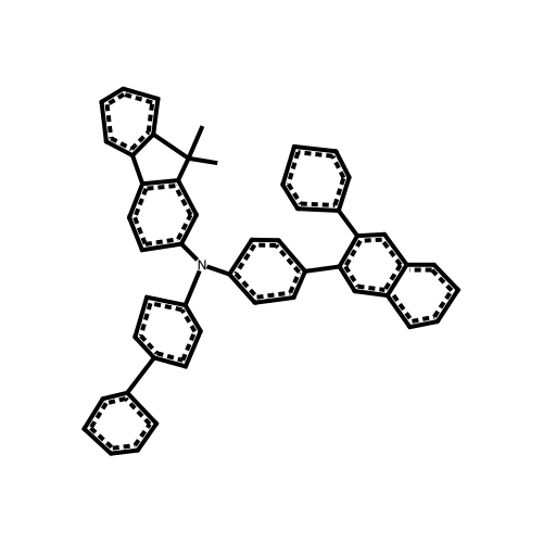 CC1(C)c2ccccc2-c2ccc(N(c3ccc(-c4ccccc4)cc3)c3ccc(-c4cc5ccccc5cc4-c4ccccc4)cc3)cc21